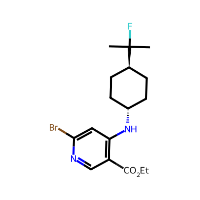 CCOC(=O)c1cnc(Br)cc1N[C@H]1CC[C@H](C(C)(C)F)CC1